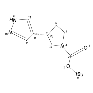 CC(C)(C)OC(=O)N1CC[C@@H](c2cn[nH]c2)C1